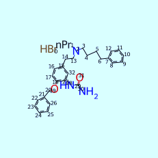 Br.CCCN(CCCCc1ccccc1)CCc1ccc(OCc2ccccc2)c(NC(N)=O)c1